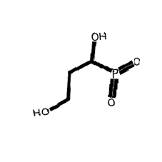 O=P(=O)C(O)CCO